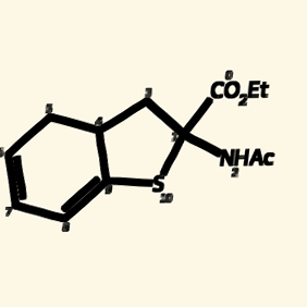 CCOC(=O)C1(NC(C)=O)CC2CC=CC=C2S1